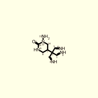 N=CC(C=N)(C=N)C1CNC(=O)N(N)C1